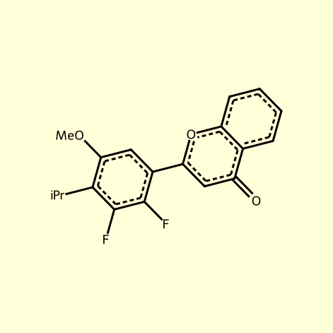 COc1cc(-c2cc(=O)c3ccccc3o2)c(F)c(F)c1C(C)C